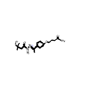 C/C(=N\NC(=O)CC(C)(C)SC(C)C)c1ccc(OCCCC(=O)C(C)C)cc1